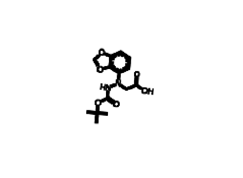 CC(C)(C)OC(=O)NN(CC(=O)O)c1cccc2c1OCO2